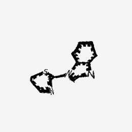 [c]1nc2ccccc2n1-c1nccs1